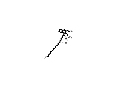 CCCCCCCCCCCCCCCCCC(N)c1c(CCC)c(CCC)cc2ccccc12.O